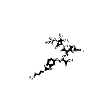 CC1(C)[C@H](NC(=O)/C(=N\O[C@H](COc2ccc3nc(SCCCN)[nH]c3c2)C(=O)O)c2csc(N)n2)C(=O)N1OS(=O)(=O)O